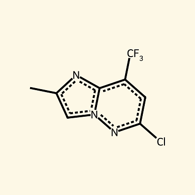 Cc1cn2nc(Cl)cc(C(F)(F)F)c2n1